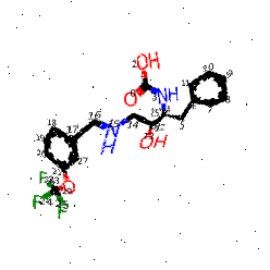 O=C(O)N[C@@H](Cc1ccccc1)[C@@H](O)CNCc1cccc(OC(F)(F)F)c1